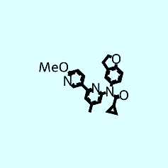 COc1ccc(-c2cc(C)cc(N(C(=O)C3CC3)c3ccc4c(c3)CCO4)n2)cn1